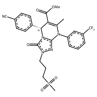 COC(=O)C1=C(C)N(c2cccc(C(F)(F)F)c2)c2nn(CCCS(C)(=O)=O)c(=O)n2[C@@H]1c1ccc(C#N)cc1